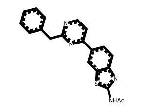 CC(=O)Nc1nc2ccc(-c3ccnc(Cc4ccccc4)n3)cc2s1